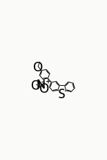 COc1ccc(-c2ccc3sc4ccccc4c3c2)c([N+](=O)[O-])c1